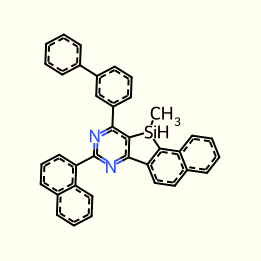 C[SiH]1c2c(-c3cccc(-c4ccccc4)c3)nc(-c3cccc4ccccc34)nc2-c2ccc3ccccc3c21